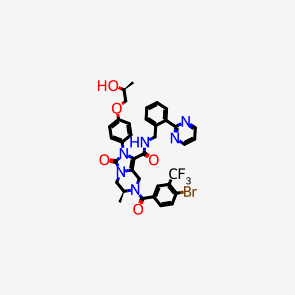 C[C@H](O)COc1ccc(-n2c(C(=O)NCc3ccccc3-c3ncccn3)c3n(c2=O)C[C@H](C)N(C(=O)c2ccc(Br)c(C(F)(F)F)c2)C3)cc1